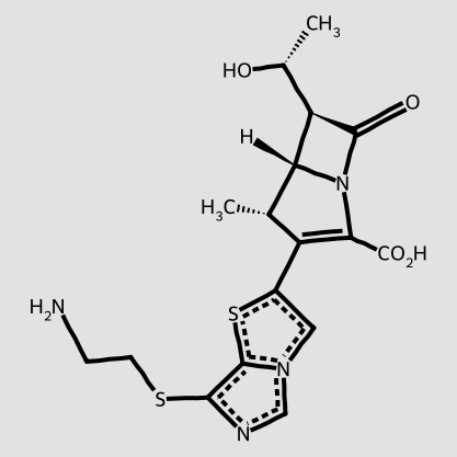 C[C@@H](O)[C@H]1C(=O)N2C(C(=O)O)=C(c3cn4cnc(SCCN)c4s3)[C@H](C)[C@H]12